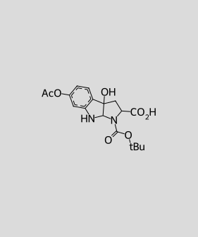 CC(=O)Oc1ccc2c(c1)NC1N(C(=O)OC(C)(C)C)C(C(=O)O)CC21O